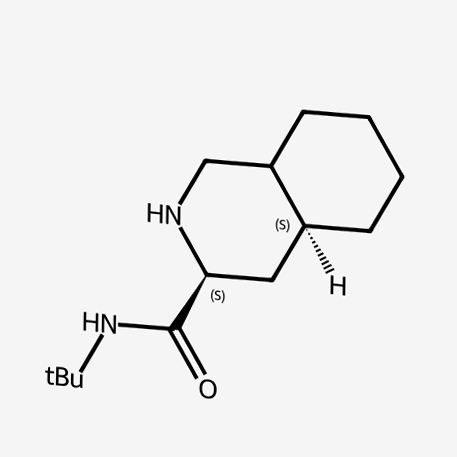 CC(C)(C)NC(=O)[C@@H]1C[C@@H]2CCCCC2CN1